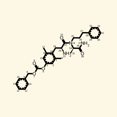 Cc1cc(OC(=O)OCc2ccccc2)cc(C)c1C[C@H](N)C(=O)N(CCCc1ccccc1)[C@H](C)C(N)=O